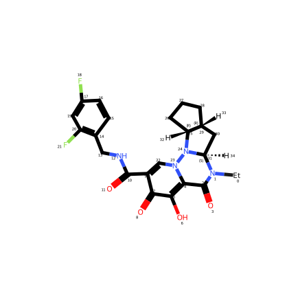 CCN1C(=O)c2c(O)c(=O)c(C(=O)NCc3ccc(F)cc3F)cn2N2[C@@H]3CCC[C@@H]3C[C@@H]12